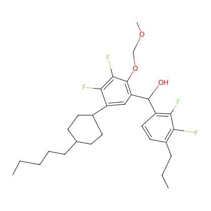 CCCCCC1CCC(c2cc(C(O)c3ccc(CCC)c(F)c3F)c(OCOC)c(F)c2F)CC1